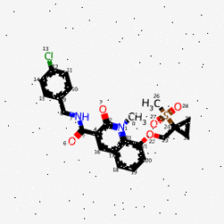 Cn1c(=O)c(C(=O)NCc2ccc(Cl)cc2)cc2cccc(OCC3(S(C)(=O)=O)CC3)c21